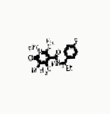 CCCn1c(C)c(C(=O)N[C@@H](CC)c2ccc(F)cc2)c(C)c(Br)c1=O